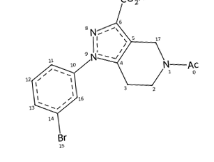 CC(=O)N1CCc2c(c(C(=O)O)nn2-c2cccc(Br)c2)C1